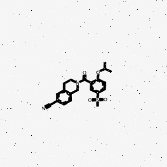 CC(C)Oc1ccc(S(C)(=O)=O)cc1C(=O)N1CCc2cc(C#N)ccc2C1